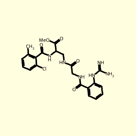 COC(=O)C(CNC(=O)CNC(=O)c1ccccc1NC(=N)N)NC(=O)c1c(C)cccc1Cl